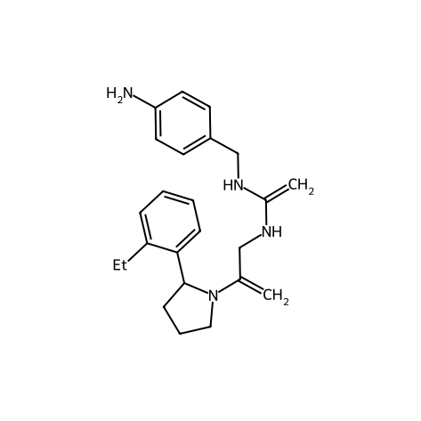 C=C(NCC(=C)N1CCCC1c1ccccc1CC)NCc1ccc(N)cc1